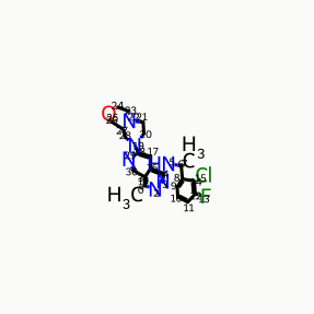 Cc1nnc(N[C@H](C)c2cccc(F)c2Cl)c2cc(N3CCN4CCOCC4C3)ncc12